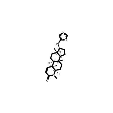 CN1C(=O)C=C[C@]2(C)[C@H]3CC[C@]4(C)[C@@H](Nc5cnco5)CC[C@H]4[C@@H]3CC[C@@H]12